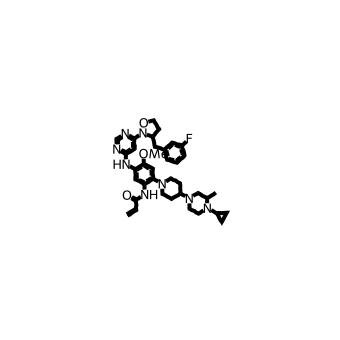 C=CC(=O)Nc1cc(Nc2cc(N3OCCC3Cc3cccc(F)c3)ncn2)c(OC)cc1N1CCC(N2CCN(C3CC3)C(C)C2)CC1